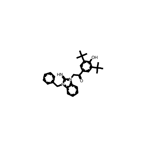 CC(C)(C)c1cc(C(=O)Cn2c(=N)n(Cc3ccccc3)c3ccccc32)cc(C(C)(C)C)c1O